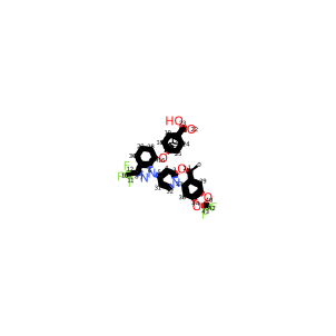 C[C@H](Oc1cc(-n2nc(C(F)(F)F)c3c2[C@@H](OC24CCC(C(=O)O)(CC2)CC4)CCC3)ccn1)c1ccc2c(c1)OC(F)(F)O2